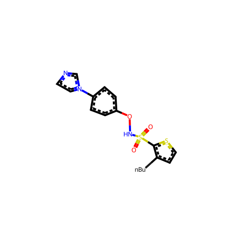 CCCCc1ccsc1S(=O)(=O)NOc1ccc(-n2ccnc2)cc1